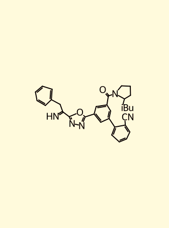 CCC(C)C1CCCN1C(=O)c1cc(-c2nnc(C(=N)Cc3ccccc3)o2)cc(-c2ccccc2C#N)c1